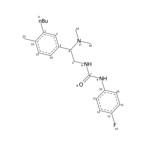 CCCCc1cc(C(CNC(=O)Nc2ccc(F)cc2)N(C)C)ccc1C